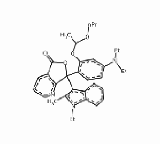 CCCOC(C)Oc1cc(N(CC)CC)ccc1C1(c2c(C)n(CC)c3ccccc23)OC(=O)c2cccnc21